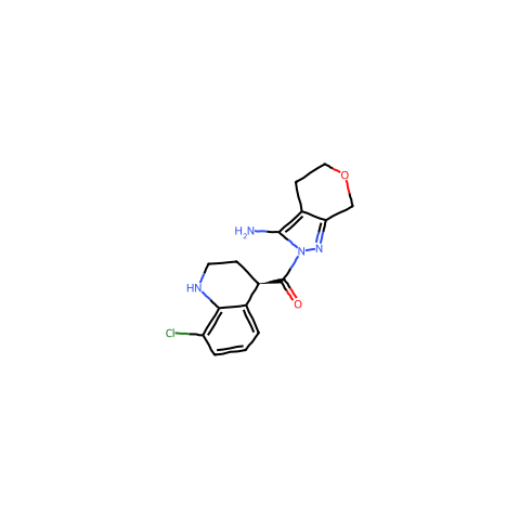 Nc1c2c(nn1C(=O)[C@@H]1CCNc3c(Cl)cccc31)COCC2